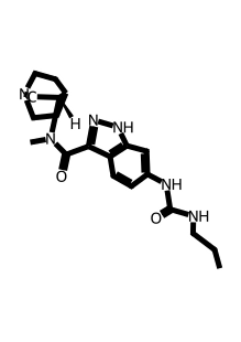 CCCNC(=O)Nc1ccc2c(C(=O)N(C)[C@@H]3CN4CCC3CC4)n[nH]c2c1